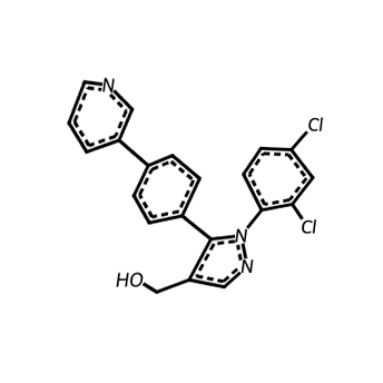 OCc1cnn(-c2ccc(Cl)cc2Cl)c1-c1ccc(-c2cccnc2)cc1